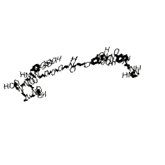 CCN1CCN(CC(=O)O)CCN(CC(=O)N[C@H](Cc2ccc(OSOOO)cc2)C(=O)NCCCOCCOCCOCCCNC(=O)CCCOc2cc(C)c(S(=O)(=O)N[C@@H](CNC(=O)c3ccc4c(cnn4CCCNc4ncc[nH]4)c3)C(=O)O)c(C)c2)CCN(C(=O)O)CC1